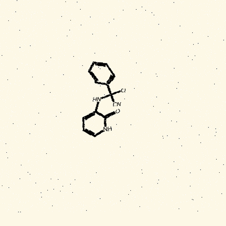 N#CC(Cl)(Nc1ccc[nH]c1=O)c1ccccc1